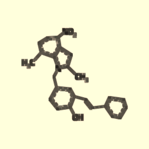 Cc1ccc([N+](=O)[O-])c2cc(C)n(Cc3ccc(O)c(/C=C/c4ccccc4)c3)c12